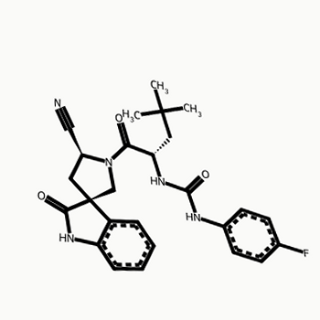 CC(C)(C)C[C@H](NC(=O)Nc1ccc(F)cc1)C(=O)N1C[C@]2(C[C@H]1C#N)C(=O)Nc1ccccc12